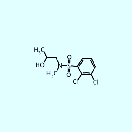 CC(O)CN(C)S(=O)(=O)c1cccc(Cl)c1Cl